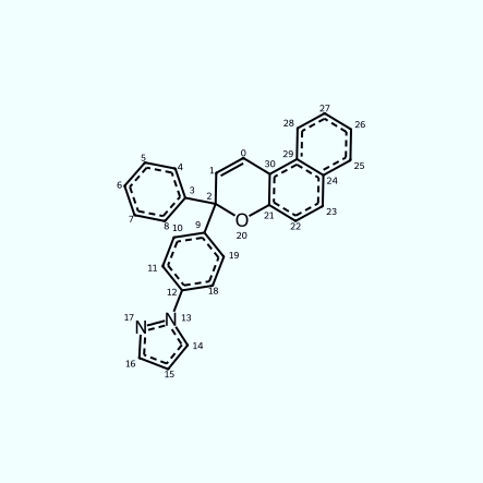 C1=CC(c2ccccc2)(c2ccc(-n3cccn3)cc2)Oc2ccc3ccccc3c21